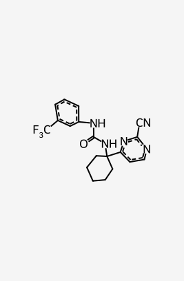 N#Cc1nccc(C2(NC(=O)Nc3cccc(C(F)(F)F)c3)CCCCC2)n1